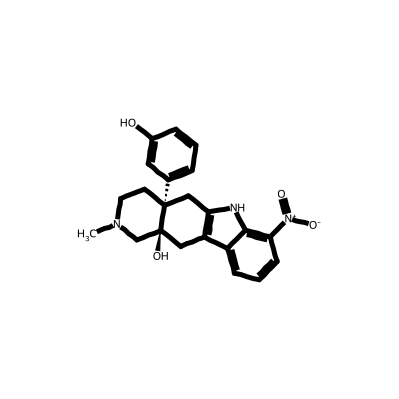 CN1CC[C@@]2(c3cccc(O)c3)Cc3[nH]c4c([N+](=O)[O-])cccc4c3C[C@]2(O)C1